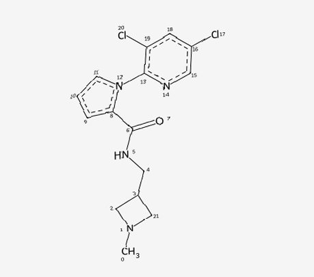 CN1CC(CNC(=O)c2cccn2-c2ncc(Cl)cc2Cl)C1